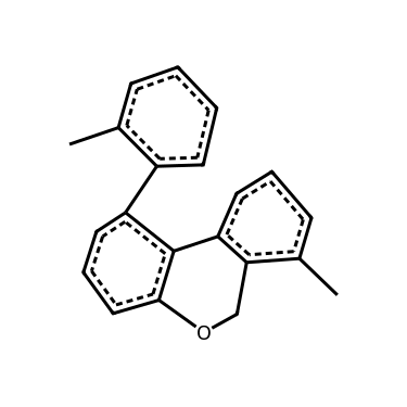 Cc1ccccc1-c1cccc2c1-c1cccc(C)c1CO2